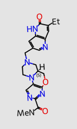 CCc1cc2ncc(CN3CCN4c5cnc(C(=O)NC)nc5OC[C@@H]4C3)cc2[nH]c1=O